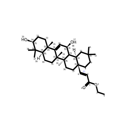 CCOC(=O)/C=C/[C@]12CCC(C)(C)C[C@@H]1C1[C@H](O)C=C3[C@@]4(C)CC[C@H](O)C(C)(C)[C@@H]4CC[C@@]3(C)[C@]1(C)CC2